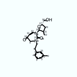 Cc1cccc(CCN2CC(=O)C=CN(C3O[C@H](CO)CC3C)C2=O)c1